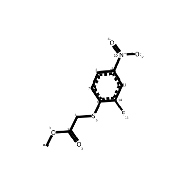 COC(=O)CSc1ccc([N+](=O)[O-])cc1F